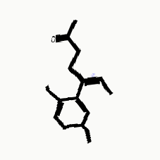 C/C=C(/CCC(C)=O)C1=CC(C)CC=C1C